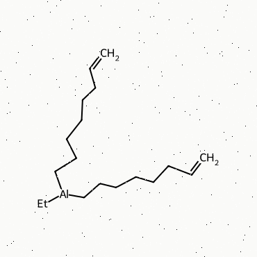 C=CCCCCC[CH2][Al]([CH2]C)[CH2]CCCCCC=C